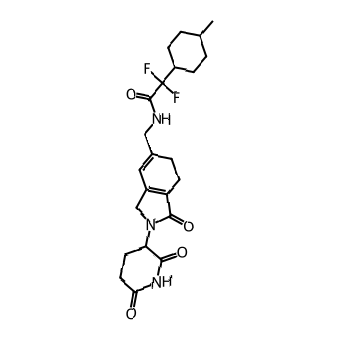 CC1CCC(C(F)(F)C(=O)NCC2=CC3=C(CC2)C(=O)N(C2CCC(=O)NC2=O)C3)CC1